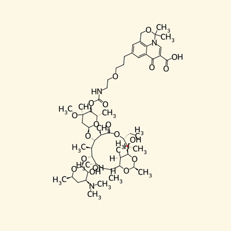 CC[C@H]1OC(=O)[C@H](C)[C@@H](O[C@H]2C[C@@](C)(OC)[C@@H](OC(=O)NCCOCCCc3cc4c5c(c3)c(=O)c(C(=O)O)cn5C(C)(C)OC4)[C@H](C)O2)[C@H](C)[C@@H](O[C@@H]2O[C@H](C)C[C@H](N(C)C)[C@H]2O)[C@](C)(O)C[C@@H](C)[C@@H]2O[C@H](C)O[C@H]([C@@H]2C)[C@]1(C)O